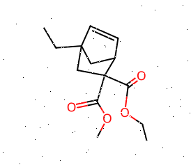 CCOC(=O)C1(C(=O)OC)CC2(CC)C=CC1C2